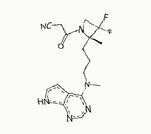 CN(CCC[C@]1(C)N(C(=O)CC#N)CC1(F)F)c1ncnc2[nH]ccc12